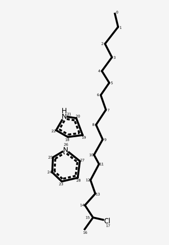 CCCCCCCCCCCCCCCC(C)Cl.c1cc[nH]c1.c1ccncc1